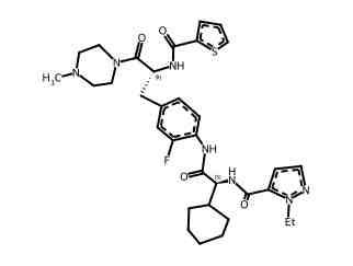 CCn1nccc1C(=O)N[C@H](C(=O)Nc1ccc(C[C@@H](NC(=O)c2cccs2)C(=O)N2CCN(C)CC2)cc1F)C1CCCCC1